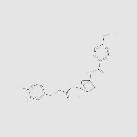 COCc1ccc(C(=O)NC23CC(C2)[C@@H](NC(=O)COc2ccc(Cl)c(F)c2)C3)cc1